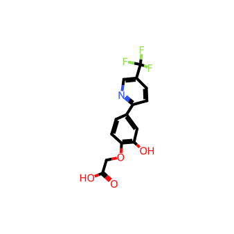 O=C(O)COc1ccc(-c2ccc(C(F)(F)F)cn2)cc1O